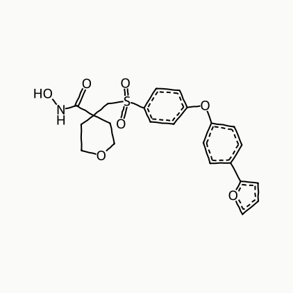 O=C(NO)C1(CS(=O)(=O)c2ccc(Oc3ccc(-c4ccco4)cc3)cc2)CCOCC1